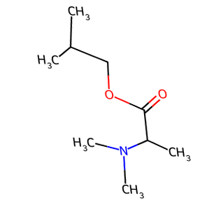 CC(C)COC(=O)C(C)N(C)C